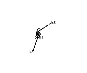 CCC=CCC=CCC=CCC=CCC=CCCCC(=O)Nc1ccn([C@@H]2CC[C@@H](COC(=O)CCCC=CCC=CCC=CCC=CCC=CCC)O2)c(=O)n1